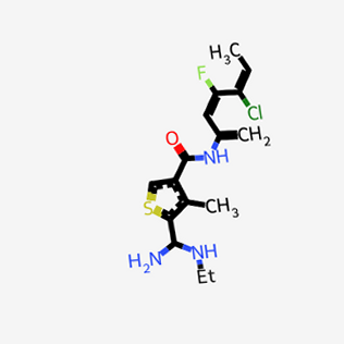 C=C(/C=C(F)\C(Cl)=C/C)NC(=O)c1csc(C(N)NCC)c1C